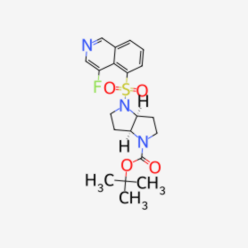 CC(C)(C)OC(=O)N1CC[C@H]2[C@@H]1CCN2S(=O)(=O)c1cccc2cncc(F)c12